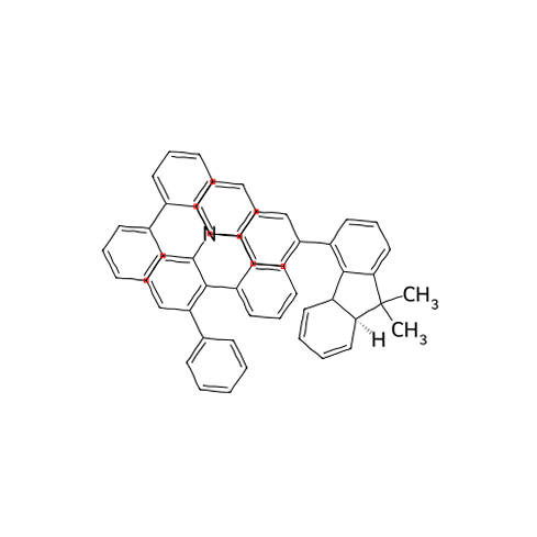 CC1(C)c2cccc(-c3ccc(N(c4ccccc4-c4ccccc4)c4cccc(-c5ccccc5)c4-c4ccccc4-c4ccccc4)cc3)c2C2C=CC=C[C@@H]21